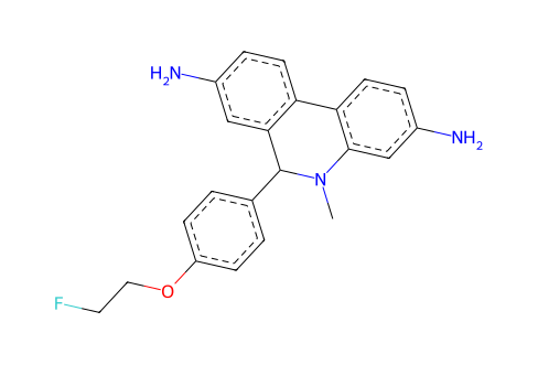 CN1c2cc(N)ccc2-c2ccc(N)cc2C1c1ccc(OCCF)cc1